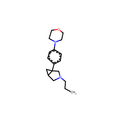 CCCN1CC2CC2(c2ccc(N3CCOCC3)cc2)C1